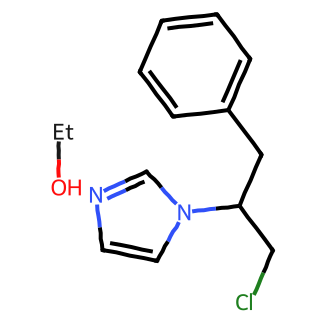 CCO.ClCC(Cc1ccccc1)n1ccnc1